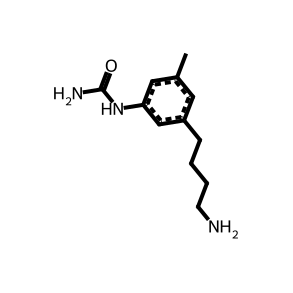 Cc1cc(CCCCN)cc(NC(N)=O)c1